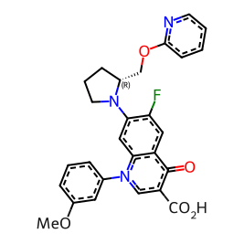 COc1cccc(-n2cc(C(=O)O)c(=O)c3cc(F)c(N4CCC[C@@H]4COc4ccccn4)cc32)c1